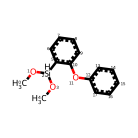 CO[SiH](OC)c1ccccc1Oc1ccccc1